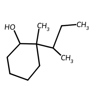 CCC(C)C1(C)CCCCC1O